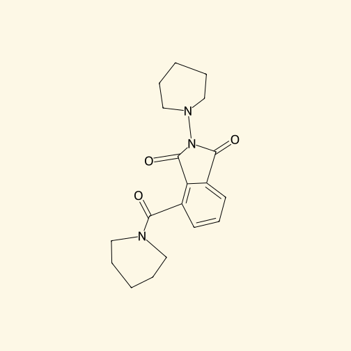 O=C(c1cccc2c1C(=O)N(N1CCCCC1)C2=O)N1CCCCC1